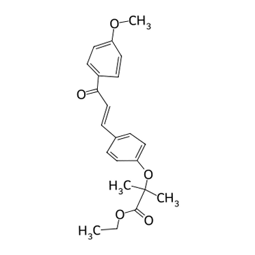 CCOC(=O)C(C)(C)Oc1ccc(C=CC(=O)c2ccc(OC)cc2)cc1